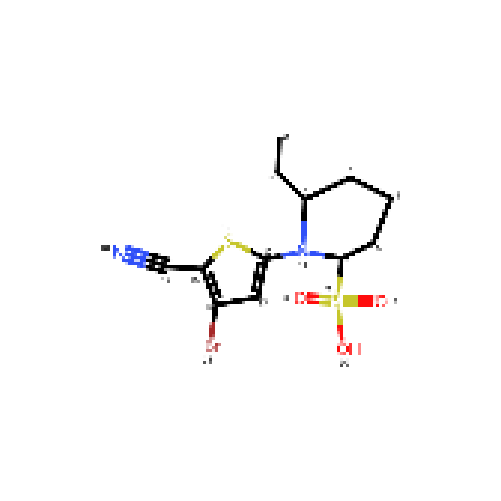 CCC1CCCC(S(=O)(=O)O)N1c1cc(Br)c(C#N)s1